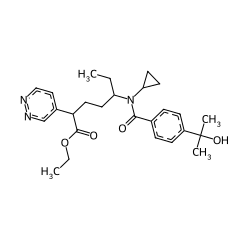 CCOC(=O)C(CCC(CC)N(C(=O)c1ccc(C(C)(C)O)cc1)C1CC1)c1ccnnc1